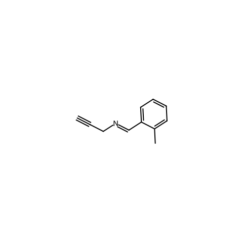 C#CCN=Cc1ccccc1C